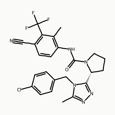 Cc1c(NC(=O)N2CCC[C@@H]2c2nnc(C)n2Cc2ccc(Cl)cc2)ccc(C#N)c1C(F)(F)F